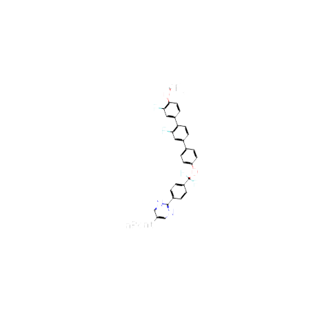 CCCCCc1cnc(-c2ccc(C(F)(F)Oc3ccc(-c4ccc(-c5ccc(OC(F)(F)F)c(F)c5)c(F)c4)cc3)cc2)nc1